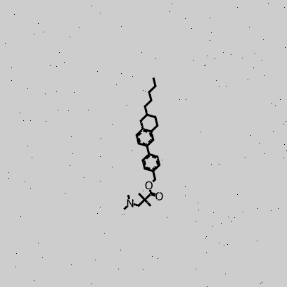 CCCCCC1CCc2cc(-c3ccc(COC(=O)C(C)(C)CN(C)C)cc3)ccc2C1